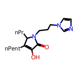 CCCCCC1=C(O)C(=O)N(CCCn2ccnc2)C1CCC